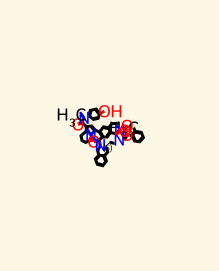 Cc1ccccc1OC(=O)N1CCc2cc(-c3cc(C(=O)N(C)c4ccc(O)cc4)c4n3CCCC4)c(C(=O)N3Cc4ccccc4C[C@H]3CCN3CCOCC3)cc2C1